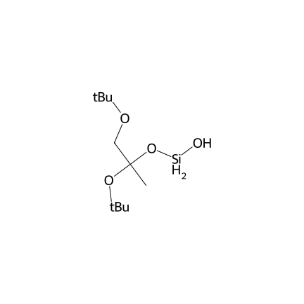 CC(C)(C)OCC(C)(O[SiH2]O)OC(C)(C)C